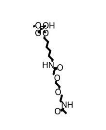 COP(=O)(O)OCCCCCCNC(=O)COCCOCCNC(C)=O